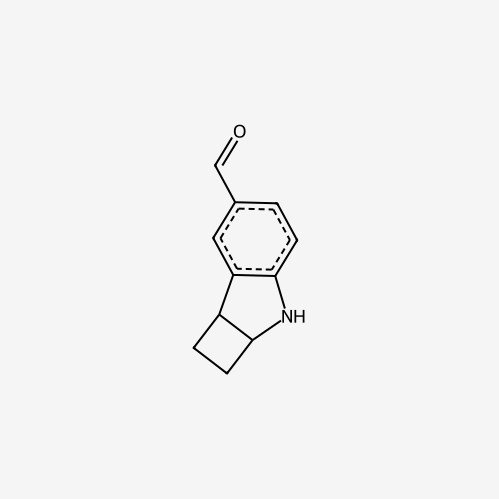 O=Cc1ccc2c(c1)C1CCC1N2